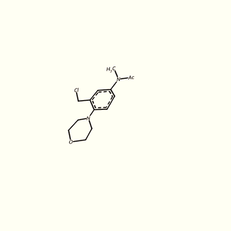 CC(=O)N(C)c1ccc(N2CCOCC2)c(CCl)c1